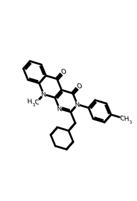 Cc1ccc(-n2c(CC3CCCCC3)nc3c(c(=O)c4ccccc4n3C)c2=O)cc1